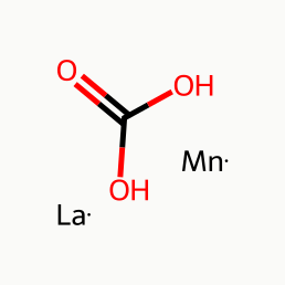 O=C(O)O.[La].[Mn]